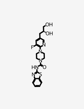 O=C(Nc1nc2ccccc2s1)N1CCN(c2ncc(C[C@H](O)CO)cc2F)CC1